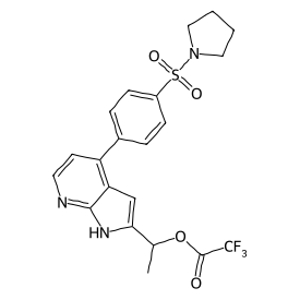 CC(OC(=O)C(F)(F)F)c1cc2c(-c3ccc(S(=O)(=O)N4CCCC4)cc3)ccnc2[nH]1